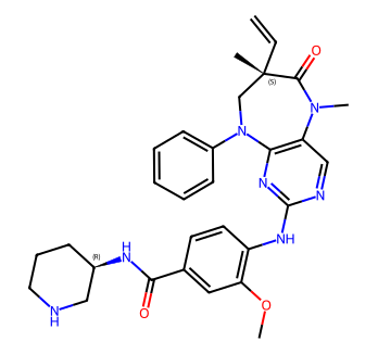 C=C[C@@]1(C)CN(c2ccccc2)c2nc(Nc3ccc(C(=O)N[C@@H]4CCCNC4)cc3OC)ncc2N(C)C1=O